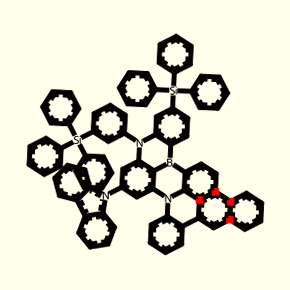 c1ccc(-c2ccc3c(c2)N(c2ccccc2-c2ccccc2)c2cc(-n4c5ccccc5c5ccccc54)cc4c2B3c2ccc([Si](c3ccccc3)(c3ccccc3)c3ccccc3)cc2N4c2cccc([Si](c3ccccc3)(c3ccccc3)c3ccccc3)c2)cc1